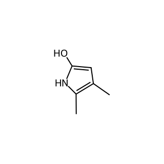 Cc1cc(O)[nH]c1C